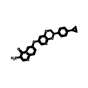 Cc1cnc2ccc(Oc3cnc4c(c3)OCC(c3ccc(C5CC5)cc3)O4)cn2c1=O